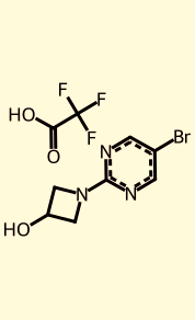 O=C(O)C(F)(F)F.OC1CN(c2ncc(Br)cn2)C1